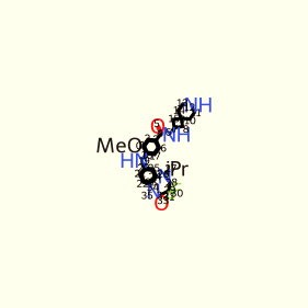 COc1cc(C(=O)NC2CC3(CCNCC3)C2)ccc1Nc1ccc2c(c1)N(C(C)C)CC(F)(F)C(=O)N2C